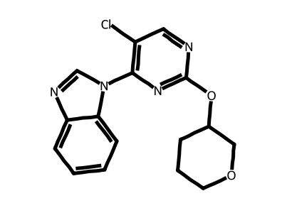 Clc1cnc(OC2CCCOC2)nc1-n1cnc2ccccc21